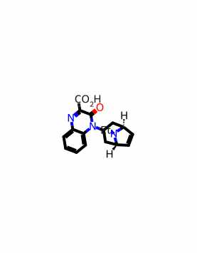 CCN1[C@@H]2C=C[C@@H]1CC(n1c(=O)c(C(=O)O)nc3ccccc31)C2